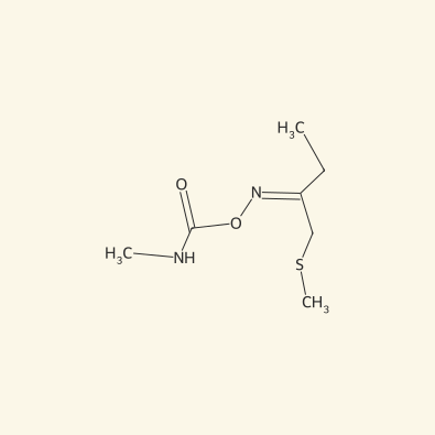 CCC(CSC)=NOC(=O)NC